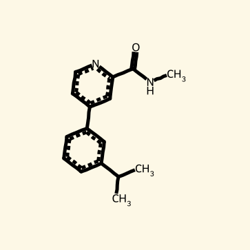 CNC(=O)c1cc(-c2cccc(C(C)C)c2)ccn1